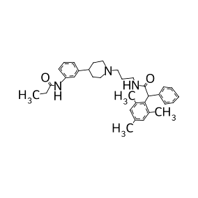 CCC(=O)Nc1cccc(C2CCN(CCCNC(=O)C(c3ccccc3)c3c(C)cc(C)cc3C)CC2)c1